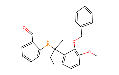 CCC(C)(Pc1ccccc1C=O)c1cccc(OC)c1OCc1ccccc1